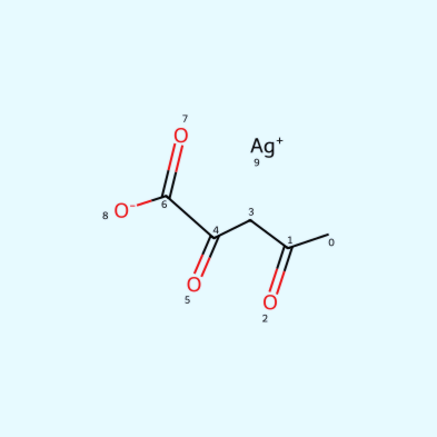 CC(=O)CC(=O)C(=O)[O-].[Ag+]